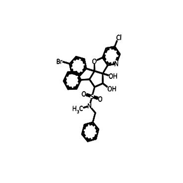 CN(Cc1ccccc1)S(=O)(=O)C1C(O)C2(O)c3ncc(Cl)cc3OC2(c2ccc(Br)cc2)C1c1ccccc1